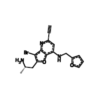 C#Cc1cc(NCc2ccco2)c2oc(C[C@H](C)N)c(Br)c2n1